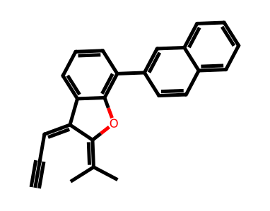 C#C/C=c1\c(=C(C)C)oc2c(-c3ccc4ccccc4c3)cccc12